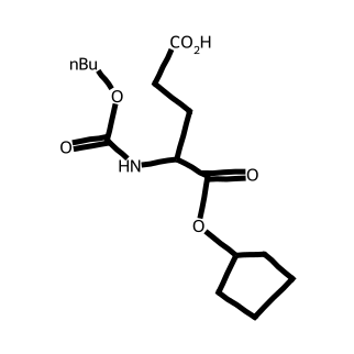 CCCCOC(=O)NC(CCC(=O)O)C(=O)OC1CCCC1